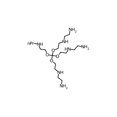 CCCNCCOC(OCCNCCN)(OCCNCCN)OCCNCCN